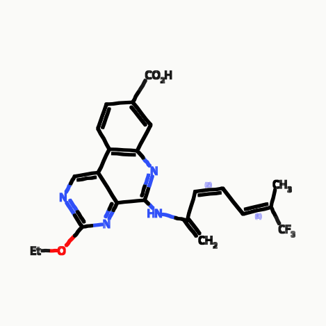 C=C(/C=C\C=C(/C)C(F)(F)F)Nc1nc2cc(C(=O)O)ccc2c2cnc(OCC)nc12